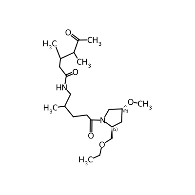 CCOC[C@@H]1C[C@@H](OC)CN1C(=O)CCC(C)CNC(=O)CC(C)C(C)C(C)=O